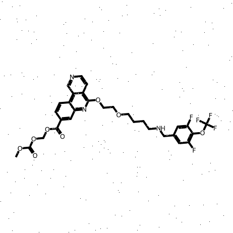 COC(=O)OCOC(=O)c1ccc2c(c1)nc(OCCOCCCCNCc1cc(F)c(OC(F)(F)F)c(F)c1)c1ccncc12